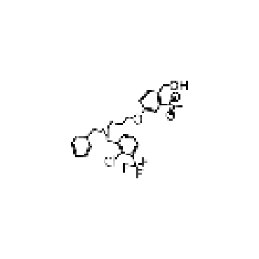 CS(=O)(=O)c1cc(OCCCN(Cc2ccccc2)Cc2cccc(C(F)(F)F)c2Cl)ccc1CO